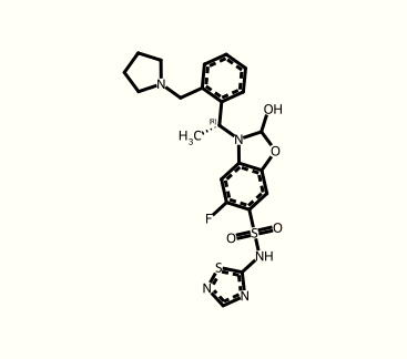 C[C@H](c1ccccc1CN1CCCC1)N1c2cc(F)c(S(=O)(=O)Nc3ncns3)cc2OC1O